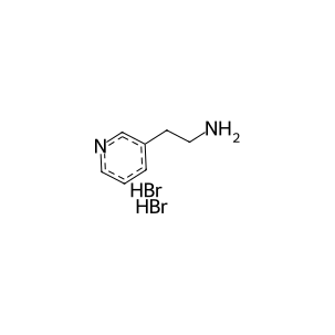 Br.Br.NCCc1cccnc1